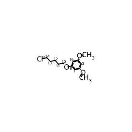 COc1cc(OC)cc(OCCCCCCl)c1